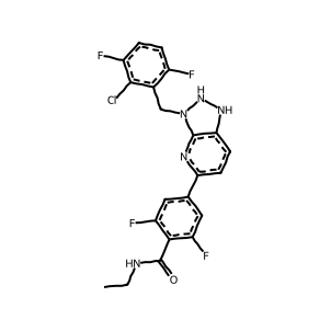 CCNC(=O)c1c(F)cc(-c2ccc3c(n2)N(Cc2c(F)ccc(F)c2Cl)NN3)cc1F